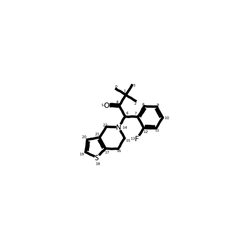 CC(C)(C)C(=O)C(c1ccccc1F)N1CCc2sccc2C1